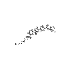 CCCCCCNC(=O)c1cccc(S(=O)(=O)NC(=O)c2ccc(C(=O)OC(C)C)nc2)c1